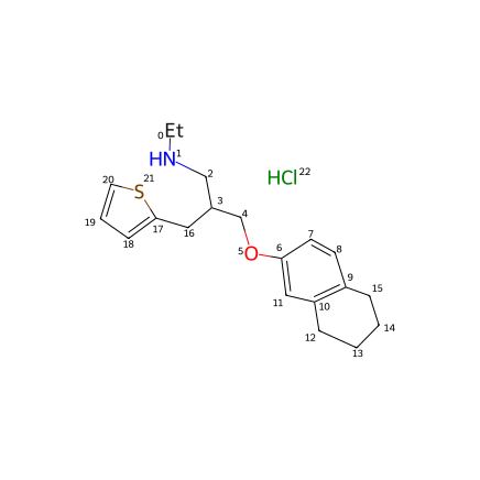 CCNCC(COc1ccc2c(c1)CCCC2)Cc1cccs1.Cl